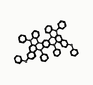 c1ccc(Oc2ccc3c4c5c(cc3c2)N(c2ccccc2)c2ccccc2B5c2cc3c(cc2N4c2ccccc2)N(c2ccccc2)c2c4c(cc5cc(Oc6ccccc6)ccc25)N(c2ccccc2)c2ccccc2B34)cc1